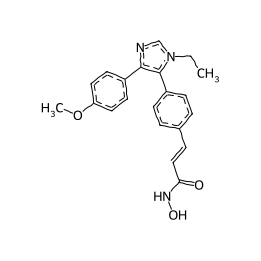 CCn1cnc(-c2ccc(OC)cc2)c1-c1ccc(C=CC(=O)NO)cc1